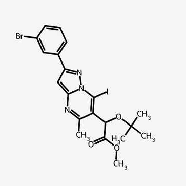 COC(=O)C(OC(C)(C)C)c1c(C)nc2cc(-c3cccc(Br)c3)nn2c1I